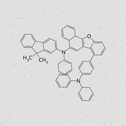 CC1(C)c2ccccc2-c2ccc(N(C3=CC=CCC3)C3=Cc4c(oc5cccc(-c6ccc(N(c7ccccc7)C7C=CC=CC7)cc6)c45)C4C=CC=CC34)cc21